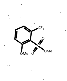 [CH2]OS(=O)(=O)c1c(OC)cccc1C(F)(F)F